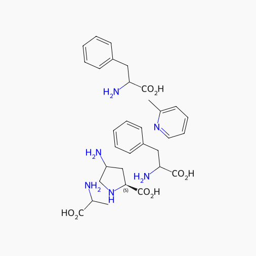 CC(N)C(=O)O.Cc1ccccn1.NC(Cc1ccccc1)C(=O)O.NC(Cc1ccccc1)C(=O)O.NC1CN[C@H](C(=O)O)C1